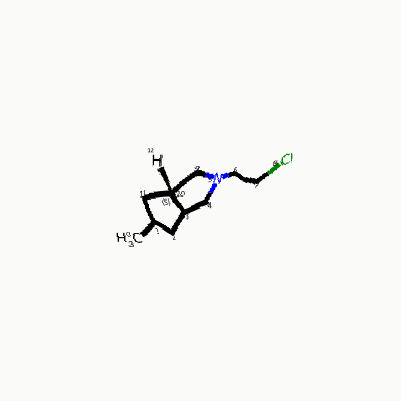 CC1CC2CN(CCCl)C[C@H]2C1